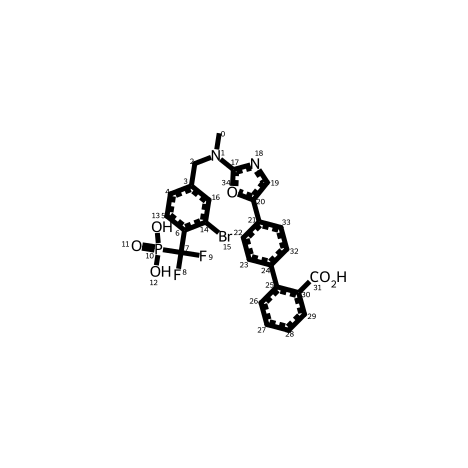 CN(Cc1ccc(C(F)(F)P(=O)(O)O)c(Br)c1)c1ncc(-c2ccc(-c3ccccc3C(=O)O)cc2)o1